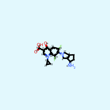 NC1CCC2=C1CN(c1c(F)cc3c(=O)c(C(=O)O)cn(C4CC4)c3c1F)C2